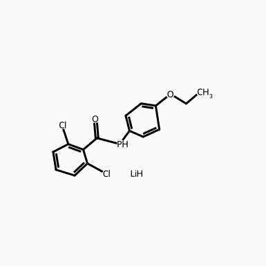 CCOc1ccc(PC(=O)c2c(Cl)cccc2Cl)cc1.[LiH]